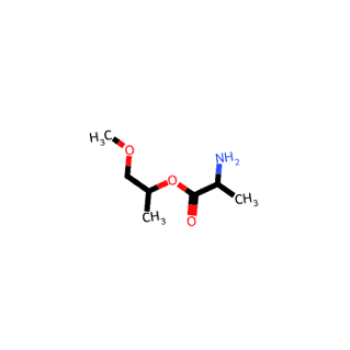 COCC(C)OC(=O)C(C)N